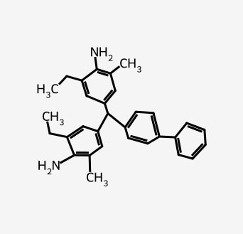 CCc1cc(C(c2ccc(-c3ccccc3)cc2)c2cc(C)c(N)c(CC)c2)cc(C)c1N